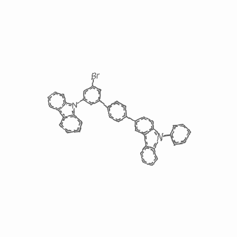 Brc1cc(-c2ccc(-c3ccc4c(c3)c3ccccc3n4-c3ccccc3)cc2)cc(-n2c3ccccc3c3ccccc32)c1